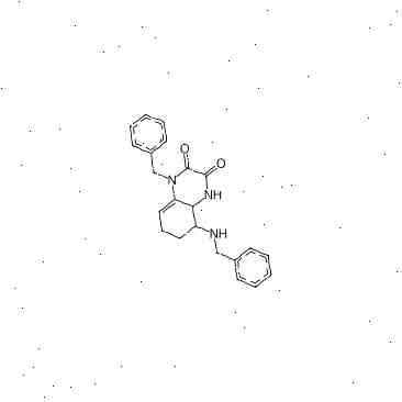 O=C1NC2C(=CCCC2NCc2ccccc2)N(Cc2ccccc2)C1=O